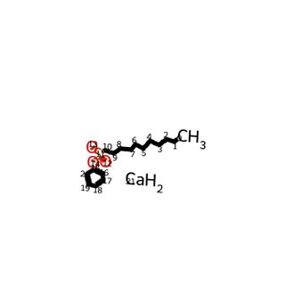 CCCCCCCCCCCS(=O)(=O)Oc1ccccc1.[CaH2]